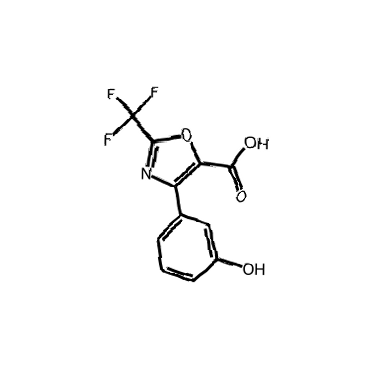 O=C(O)c1oc(C(F)(F)F)nc1-c1cccc(O)c1